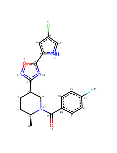 C[C@H]1CC[C@@H](c2noc(-c3cc(Cl)c[nH]3)n2)CN1C(=O)c1ccc(F)cc1